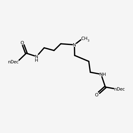 CCCCCCCCCCC(=O)NCCCN(C)CCCNC(=O)CCCCCCCCCC